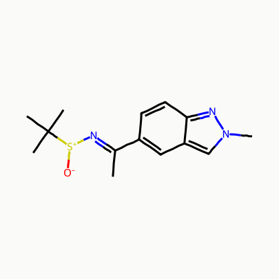 C/C(=N\[S+]([O-])C(C)(C)C)c1ccc2nn(C)cc2c1